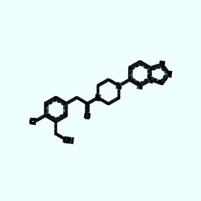 O=C(Cc1ccc(Cl)c(CO)c1)N1CCN(c2ccc3nncn3n2)CC1